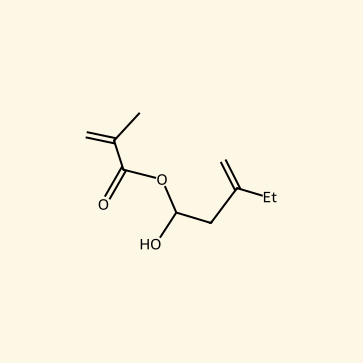 C=C(CC)CC(O)OC(=O)C(=C)C